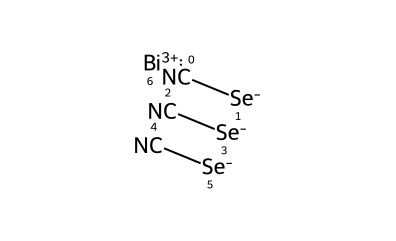 N#C[Se-].N#C[Se-].N#C[Se-].[Bi+3]